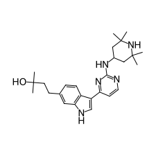 CC(C)(O)CCc1ccc2c(-c3ccnc(NC4CC(C)(C)NC(C)(C)C4)n3)c[nH]c2c1